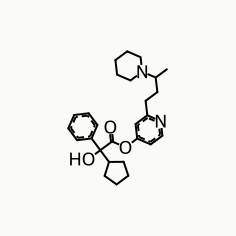 CC(CCc1cc(OC(=O)C(O)(c2ccccc2)C2CCCC2)ccn1)N1CCCCC1